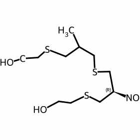 CC(CSCCO)CSC[C@H](CSCCO)N=O